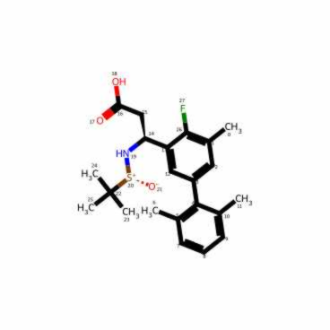 Cc1cc(-c2c(C)cccc2C)cc([C@H](CC(=O)O)N[S@+]([O-])C(C)(C)C)c1F